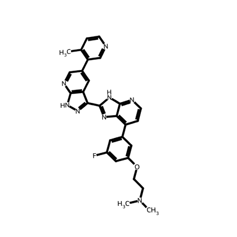 Cc1ccncc1-c1cnc2[nH]nc(-c3nc4c(-c5cc(F)cc(OCCN(C)C)c5)ccnc4[nH]3)c2c1